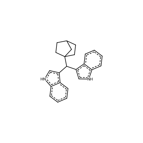 c1ccc2c(C(c3c[nH]c4ccccc34)C34CCC(CC3)C4)c[nH]c2c1